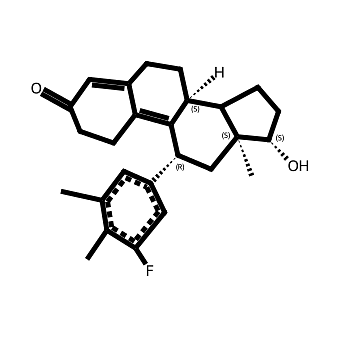 Cc1cc([C@H]2C[C@@]3(C)C(CC[C@@H]3O)[C@@H]3CCC4=CC(=O)CCC4=C32)cc(F)c1C